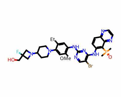 CCc1cc(Nc2ncc(Br)c(Nc3ccc4nccnc4c3P(C)(C)=O)n2)c(OC)cc1N1CCC(N2CC(F)(CO)C2)CC1